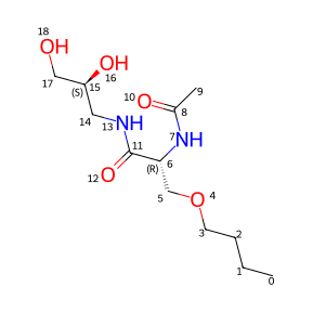 CCCCOC[C@@H](NC(C)=O)C(=O)NC[C@H](O)CO